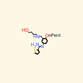 CCCCCOc1ccc(N=C(N)c2cccs2)cc1CNCCCCO